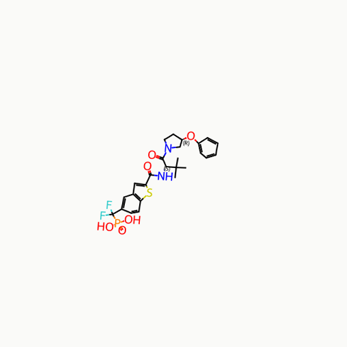 CC(C)(C)[C@H](NC(=O)c1cc2cc(C(F)(F)P(=O)(O)O)ccc2s1)C(=O)N1CC[C@@H](Oc2ccccc2)C1